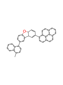 Cc1ccc(-c2ccc3c(c2)C2C=C(c4ccc5ccc6cccc7ccc4c5c67)C=CC2O3)c2ccccc12